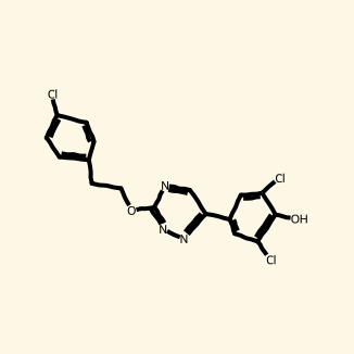 Oc1c(Cl)cc(-c2cnc(OCCc3ccc(Cl)cc3)nn2)cc1Cl